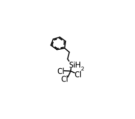 ClC(Cl)(Cl)[SiH2]CCc1ccccc1